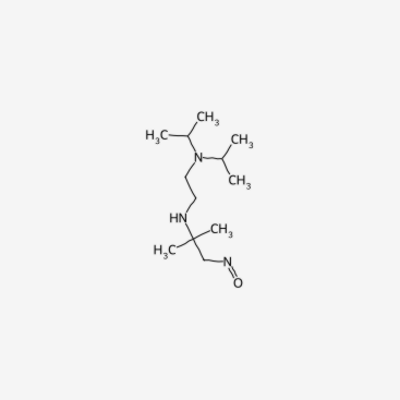 CC(C)N(CCNC(C)(C)CN=O)C(C)C